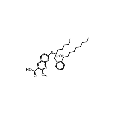 CCCCCCCCCc1ccccc1C[C@](O)(CCCCF)Sc1ccc2cc(C(=O)O)c(OC)nc2c1